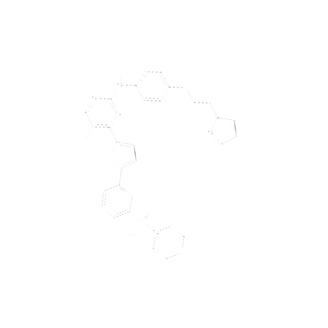 Cc1cnc(Nc2ccc(OCCC3CCCN3)cc2)nc1-c1ccc(-c2cccc(S(=O)(=O)N3CCOCC3)c2)s1